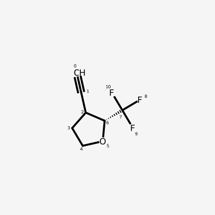 C#CC1CCO[C@H]1C(F)(F)F